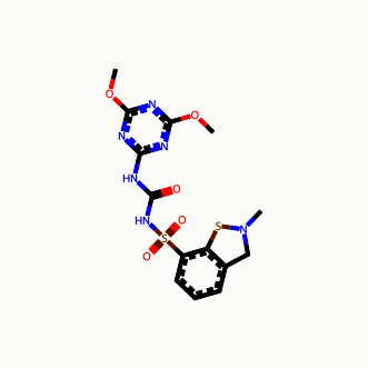 COc1nc(NC(=O)NS(=O)(=O)c2cccc3c2SN(C)C3)nc(OC)n1